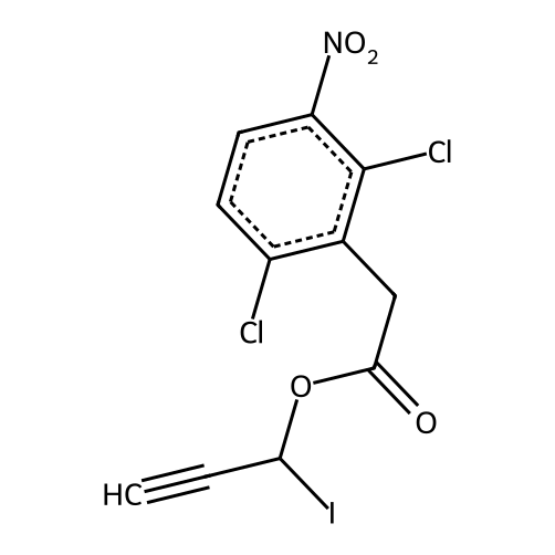 C#CC(I)OC(=O)Cc1c(Cl)ccc([N+](=O)[O-])c1Cl